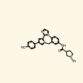 CC(C)N1CCC(C(=O)Nc2ccc3c(c2)Cn2cc(-c4ccc(C#N)cc4)cc2-c2nccn2-3)C1